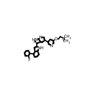 CN(C)CCOc1cncc(-c2cnc3[nH]nc(-c4cc5c(-c6ccccc6F)cccc5[nH]4)c3c2)c1